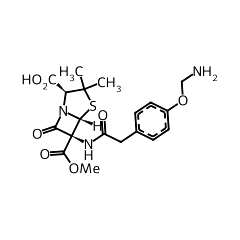 COC(=O)[C@]1(NC(=O)Cc2ccc(OCN)cc2)C(=O)N2[C@@H](C(=O)O)C(C)(C)S[C@@H]21